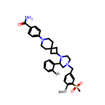 COc1ccc(CN2CCN(C3CC4(CCN(c5ccc(C(N)=O)cc5)CC4)C3)C(c3ccccc3C(C)C)C2)cc1S(C)(=O)=O